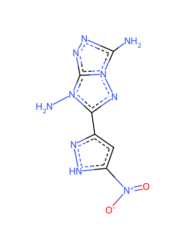 Nc1nnc2n(N)c(-c3cc([N+](=O)[O-])[nH]n3)nn12